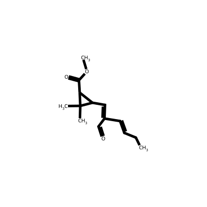 CCC=CC(C=O)=CC1C(C(=O)OC)C1(C)C